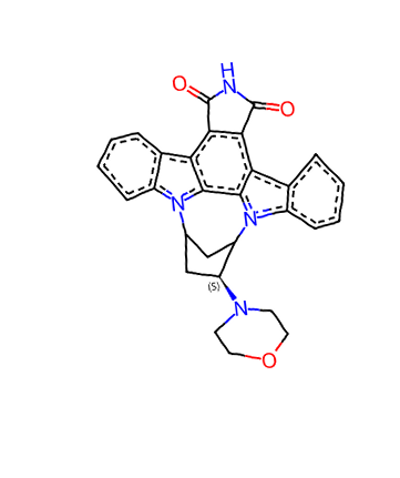 O=C1NC(=O)c2c1c1c3ccccc3n3c1c1c2c2ccccc2n1C1CC3C[C@@H]1N1CCOCC1